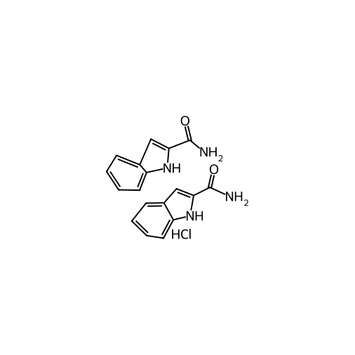 Cl.NC(=O)c1cc2ccccc2[nH]1.NC(=O)c1cc2ccccc2[nH]1